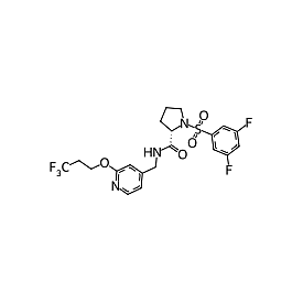 O=C(NCc1ccnc(OCCC(F)(F)F)c1)[C@@H]1CCCN1S(=O)(=O)c1cc(F)cc(F)c1